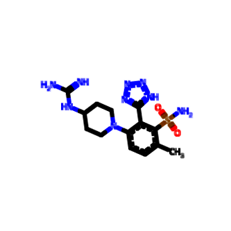 Cc1ccc(N2CCC(NC(=N)N)CC2)c(-c2nnn[nH]2)c1S(N)(=O)=O